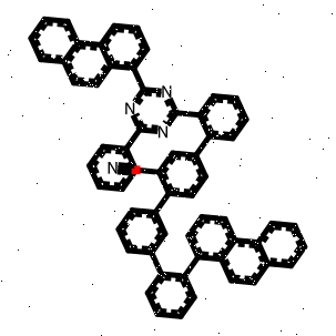 N#Cc1cc(-c2ccccc2-c2nc(-c3ccccc3)nc(-c3cccc4c3ccc3ccccc34)n2)ccc1-c1cccc(-c2ccccc2-c2cccc3c2ccc2ccccc23)c1